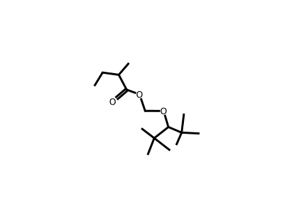 CCC(C)C(=O)OCOC(C(C)(C)C)C(C)(C)C